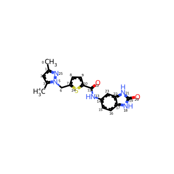 Cc1cc(C)n(Cc2ccc(C(=O)Nc3ccc4[nH]c(=O)[nH]c4c3)s2)n1